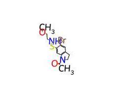 COCCNSc1cc2c(cc1Br)CCN2C(C)=O